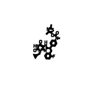 Cc1nc(C)c(OC(=O)N(C)c2ccc(C(Cc3ccccc3F)c3nc4c([nH]3)c(=O)[nH]c(=O)n4CC3CC3)cc2)s1